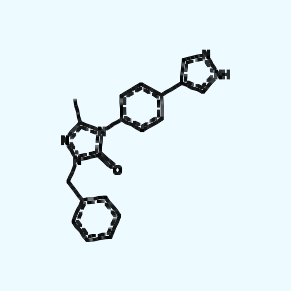 Cc1nn(Cc2ccccc2)c(=O)n1-c1ccc(-c2cn[nH]c2)cc1